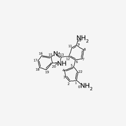 Nc1cccc(-c2ccc(N)cc2-c2nc3ccccc3[nH]2)c1